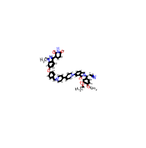 CCOc1cc([C@@H](CC#N)N2Cc3ccc(N4CCC(C5CCN(Cc6ccc(Oc7ccc8c(C9CCC(=O)NC9=O)nn(C)c8c7)cc6)CC5)CC4)cc3C2=O)ccc1OC